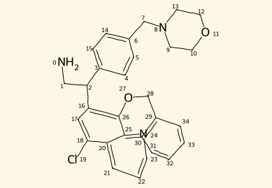 NCC(c1ccc(CN2CCOCC2)cc1)c1cc(Cl)c2cccnc2c1OCc1ccccc1